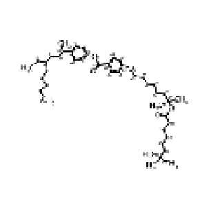 CCCCCC(CC)CCC(C)c1ccc(OC(=O)c2ccc(OCCCCCCC(C)(C)OC(=O)CCCCCC(C)(C)O)cc2)cc1